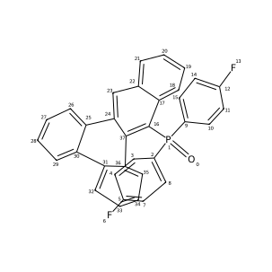 O=P(c1ccc(F)cc1)(c1ccc(F)cc1)c1c2ccccc2cc2c3ccccc3c3ccccc3c12